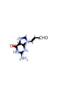 Nc1nc2c(ncn2C=CC=O)c(=O)[nH]1